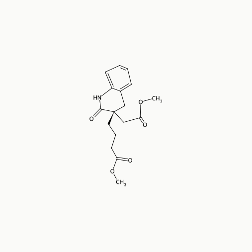 COC(=O)CCC[C@]1(CC(=O)OC)Cc2ccccc2NC1=O